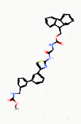 CC(C)(C)OC(=O)NCc1cccc(-c2cccc(-c3csc(NC(=O)CNC(=O)OCC4c5ccccc5-c5ccccc54)n3)c2)c1